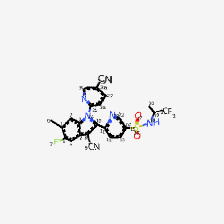 Cc1cc2c(cc1F)c(C#N)c(-c1ccc(S(=O)(=O)N[C@@H](C)C(F)(F)F)cn1)n2-c1ccc(C#N)cn1